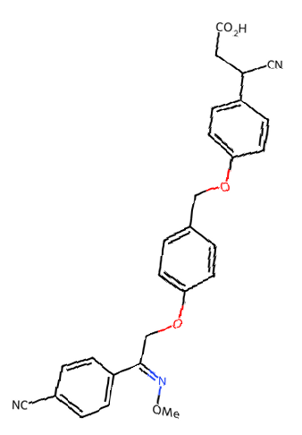 CON=C(COc1ccc(COc2ccc(C(C#N)CC(=O)O)cc2)cc1)c1ccc(C#N)cc1